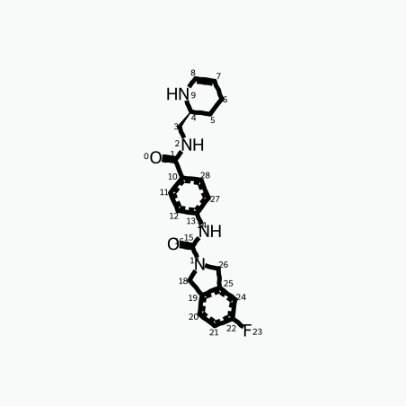 O=C(NC[C@@H]1CCC=CN1)c1ccc(NC(=O)N2Cc3ccc(F)cc3C2)cc1